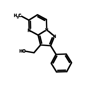 Cc1ccn2nc(-c3ccccc3)c(CO)c2n1